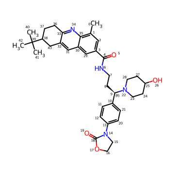 Cc1cc(C(=O)NCC[C@H](c2ccc(N3CCOC3=O)cc2)N2CCC(O)CC2)cc2cc3c(nc12)CCC(C(C)(C)C)C3